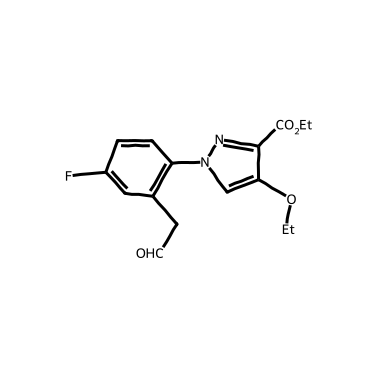 CCOC(=O)c1nn(-c2ccc(F)cc2CC=O)cc1OCC